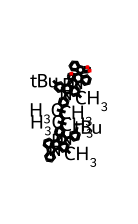 Cc1cc2c3c(c1)N1c4ccccc4C4(c5ccccc5-c5ccccc54)c4cccc(c41)B3c1cc(C(C)(C)C)ccc1N2c1ccc(C(C)(C)CCC(C)(C)c2ccc3c(c2)N(c2cccc(C(C)(C)C)c2)c2cc(C)cc4c2B3c2cccc3c5ccccc5n-4c23)cc1